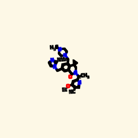 CCOc1cc([C@H](C)N2CC3(CC3)c3c(CN4CCN(C)CC4)cc(Cn4ccnc4NC)cc3C2=O)ncc1C#N